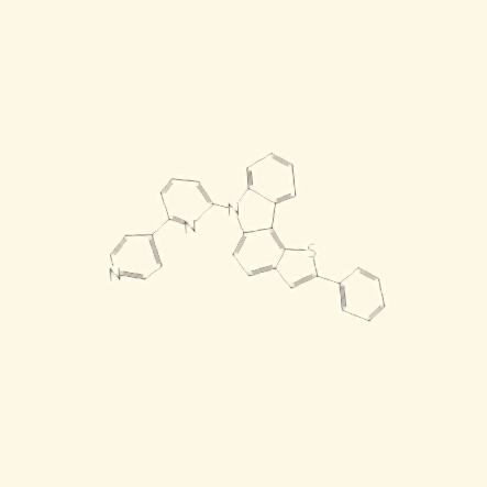 c1ccc(-c2cc3ccc4c(c5ccccc5n4-c4cccc(-c5ccncc5)n4)c3s2)cc1